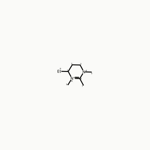 CCC1CCN(C)C(C)=[N+]1C